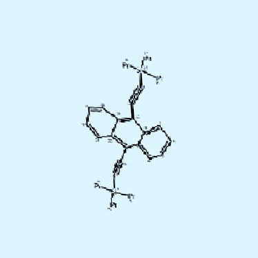 CC(C)[Si](C#Cc1c2ccccc2c(C#C[Si](C(C)C)(C(C)C)C(C)C)c2ccccc12)(C(C)C)C(C)C